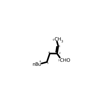 C/C=C(/C=O)CCCCCC